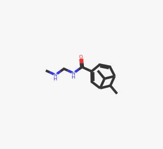 CNCNC(=O)C1=CC2C(C)C(C=C1)C2C